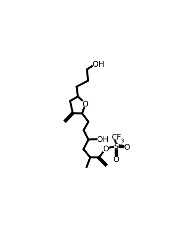 C=C(OS(=O)(=O)C(F)(F)F)C(C)CC(O)CCC1OC(CCCO)CC1=C